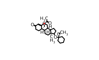 COC1(OC2CC[C@H]3[C@@H]4CCC5=CC(=O)CC[C@]5(COC(C)=O)[C@@H]4CC[C@]23C)CCCCC1